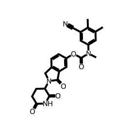 Cc1cc(N(C)C(=O)Oc2ccc3c(c2)C(=O)N(C2CCC(=O)NC2=O)C3)cc(C#N)c1C